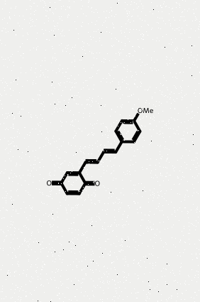 COc1ccc(C=CC=CC2=CC(=O)C=CC2=O)cc1